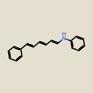 C(=C\C=C\c1ccccc1)/C=C/Nc1ccccc1